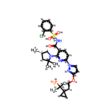 C[C@@H]1CN(c2nc(-n3ccc(OCCC4(C(C)(C)P)CC4)n3)ccc2C(=O)NS(=O)(=O)c2ccccc2Cl)C(C)(C)C1